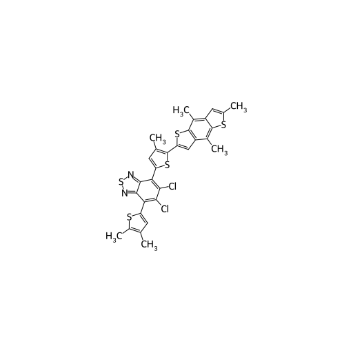 Cc1cc2c(C)c3sc(-c4sc(-c5c(Cl)c(Cl)c(-c6cc(C)c(C)s6)c6nsnc56)cc4C)cc3c(C)c2s1